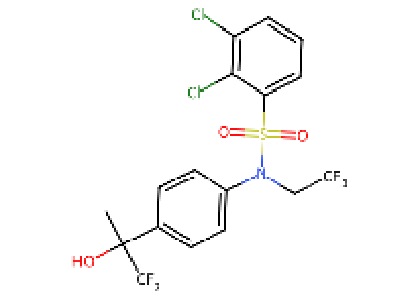 CC(O)(c1ccc(N(CC(F)(F)F)S(=O)(=O)c2cccc(Cl)c2Cl)cc1)C(F)(F)F